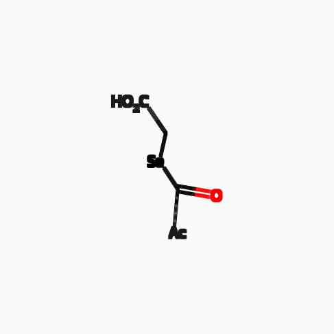 CC(=O)C(=O)[Se]CC(=O)O